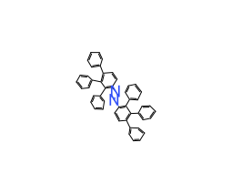 c1ccc(-c2ccc(/N=N/c3ccc(-c4ccccc4)c(-c4ccccc4)c3-c3ccccc3)c(-c3ccccc3)c2-c2ccccc2)cc1